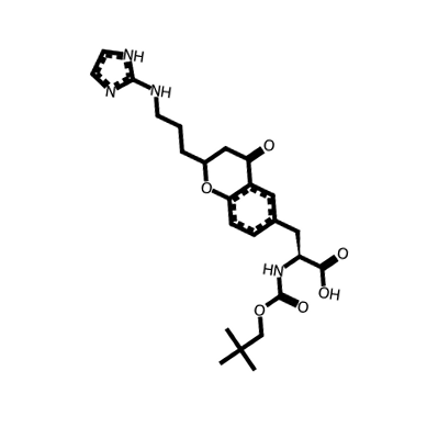 CC(C)(C)COC(=O)N[C@@H](Cc1ccc2c(c1)C(=O)CC(CCCNc1ncc[nH]1)O2)C(=O)O